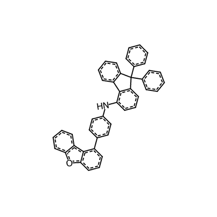 c1ccc(C2(c3ccccc3)c3ccccc3-c3c(Nc4ccc(-c5cccc6oc7ccccc7c56)cc4)cccc32)cc1